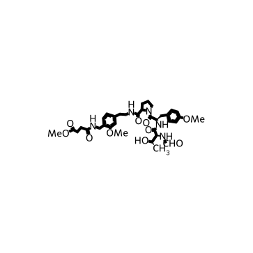 COC(=O)CCC(=O)NCc1ccc(CCNC(=O)C2CCCN2C(=O)[C@@H](Cc2ccc(OC)cc2)NC(=O)[C@@H](NC=O)[C@H](C)O)cc1OC